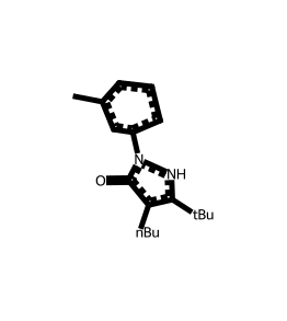 CCCCc1c(C(C)(C)C)[nH]n(-c2cccc(C)c2)c1=O